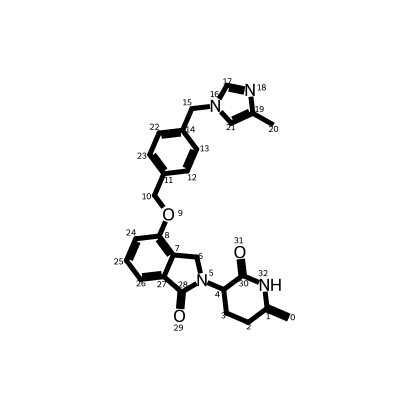 C=C1CCC(N2Cc3c(OCc4ccc(Cn5cnc(C)c5)cc4)cccc3C2=O)C(=O)N1